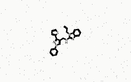 C=CCn1c(NCc2cn(-c3ccccc3)nc2-c2cccs2)nc2ccccc21